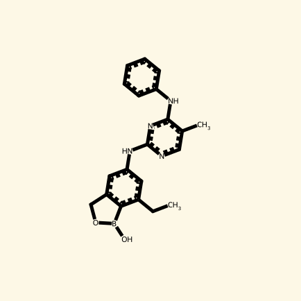 CCc1cc(Nc2ncc(C)c(Nc3ccccc3)n2)cc2c1B(O)OC2